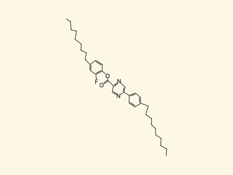 CCCCCCCCCCc1ccc(-c2cnc(C(=O)Oc3ccc(CCCCCCCCC)cc3F)cn2)cc1